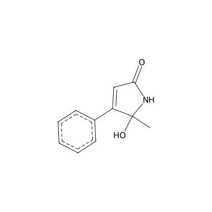 CC1(O)NC(=O)C=C1c1ccccc1